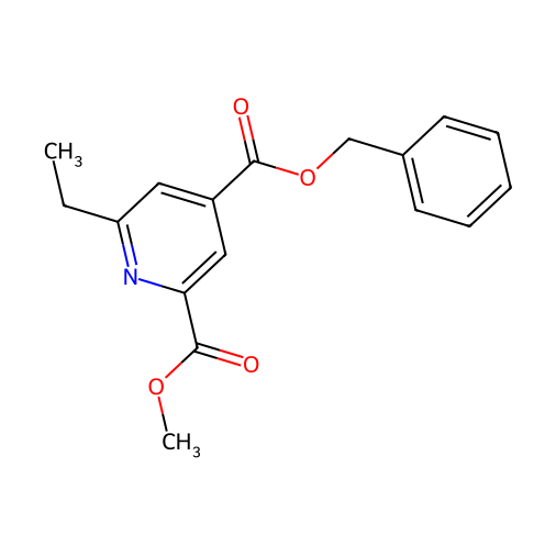 CCc1cc(C(=O)OCc2ccccc2)cc(C(=O)OC)n1